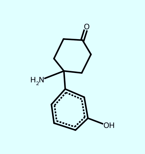 NC1(c2cccc(O)c2)CCC(=O)CC1